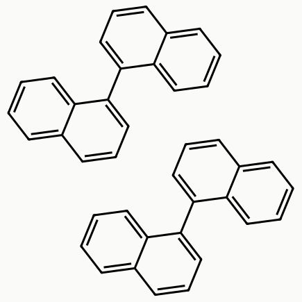 c1ccc2c(-c3cccc4ccccc34)cccc2c1.c1ccc2c(-c3cccc4ccccc34)cccc2c1